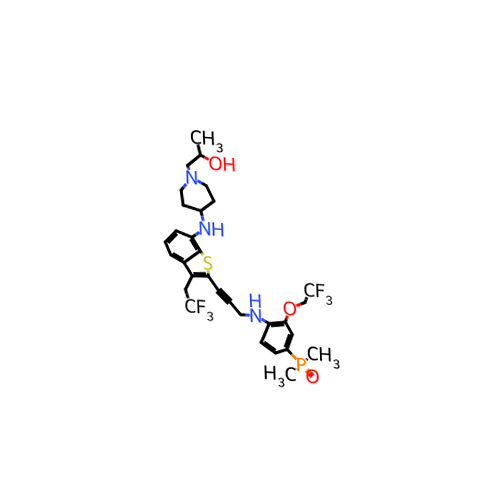 CC(O)CN1CCC(Nc2cccc3c(CC(F)(F)F)c(C#CCNc4ccc(P(C)(C)=O)cc4OCC(F)(F)F)sc23)CC1